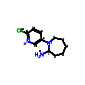 NC1CCCCCN1c1ccc(Cl)nc1